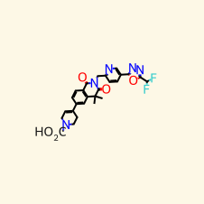 CC1(C)C(=O)N(Cc2ccc(-c3nnc(C(F)F)o3)cn2)C(=O)c2ccc(C3=CCN(C(=O)O)CC3)cc21